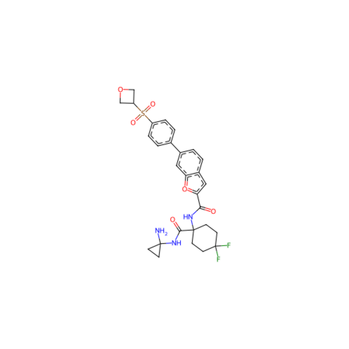 NC1(NC(=O)C2(NC(=O)c3cc4ccc(-c5ccc(S(=O)(=O)C6COC6)cc5)cc4o3)CCC(F)(F)CC2)CC1